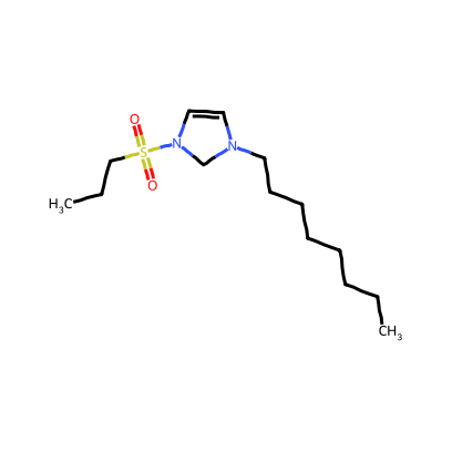 CCCCCCCCN1C=CN(S(=O)(=O)CCC)C1